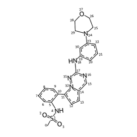 CS(=O)(=O)Nc1ccccc1-c1ccc2cnc(Nc3cccc(N4CCOCC4)c3)nn12